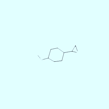 O=C(O)NC1CCC(C2CO2)CC1